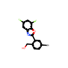 CC(C)c1ccc(CO)c(-c2nc3cc(F)cc(F)c3o2)c1